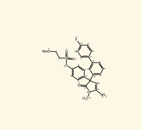 COCCS(=O)(=O)Oc1ccc(C2(c3cccc(-c4ccc(F)nc4)c3)N=C(N)N(C)C2=O)cc1